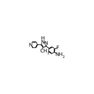 Cc1c(-c2ccc(N)c(F)c2)n[nH]c1-c1ccncc1